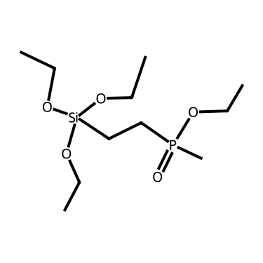 CCO[Si](CCP(C)(=O)OCC)(OCC)OCC